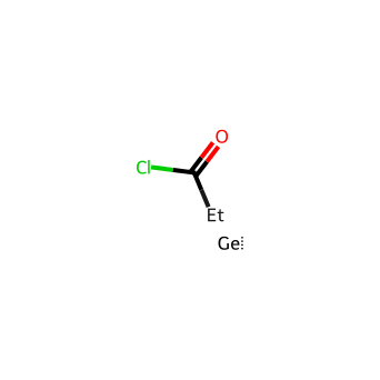 CCC(=O)Cl.[Ge]